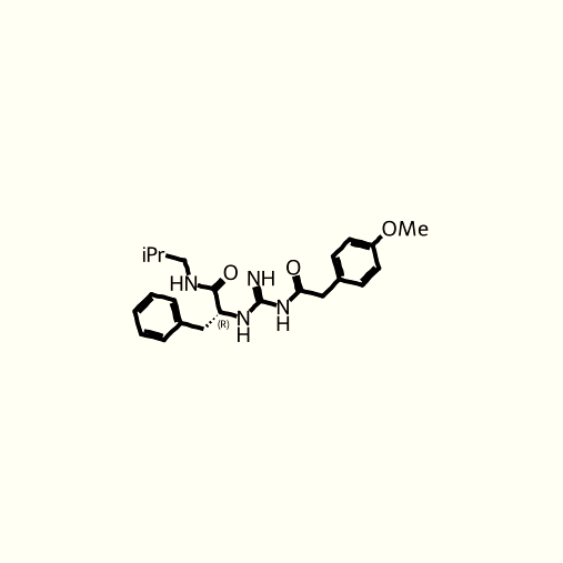 COc1ccc(CC(=O)NC(=N)N[C@H](Cc2ccccc2)C(=O)NCC(C)C)cc1